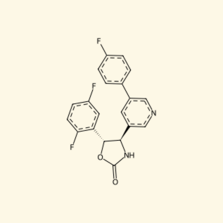 O=C1N[C@H](c2cncc(-c3ccc(F)cc3)c2)[C@@H](c2cc(F)ccc2F)O1